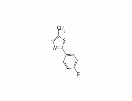 Cc1[c]nc(-c2ccc(F)cc2)s1